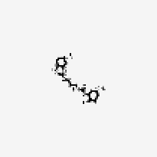 CC1CCC(C(C)C)C(OC(=O)NCCCOC(=O)OC2CC(C)CCC2C(C)C)C1